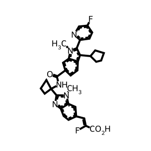 Cn1c(C2(NC(=O)c3ccc4c(C5CCCC5)c(-c5ccc(F)cn5)n(C)c4c3)CCC2)nc2ccc(/C=C(\F)C(=O)O)cc21